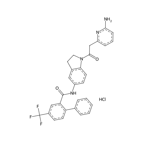 Cl.Nc1cccc(CC(=O)N2CCc3cc(NC(=O)c4cc(C(F)(F)F)ccc4-c4ccccc4)ccc32)n1